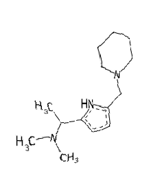 CC(c1ccc(CN2CCCCC2)[nH]1)N(C)C